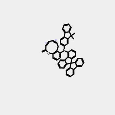 C=C1/C=C\C=C/Cc2c(cccc2N(c2ccc3c(c2)C(C)(C)c2ccccc2-3)c2cccc3c2-c2ccccc2C32c3ccccc3-c3ccccc32)O1